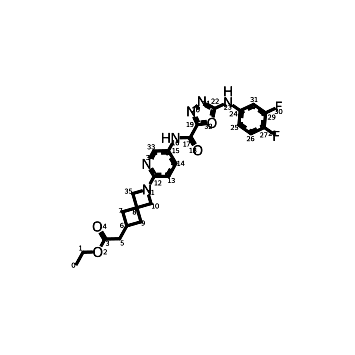 CCOC(=O)CC1CC2(C1)CN(c1ccc(NC(=O)c3nnc(Nc4ccc(F)c(F)c4)o3)cn1)C2